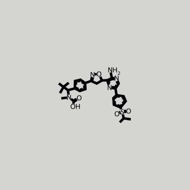 CC(C)S(=O)(=O)c1ccc(-c2cnc(N)c(C3CC(c4ccc(C(N(C)C(=O)O)C(C)(C)C)cc4)=NO3)n2)cc1